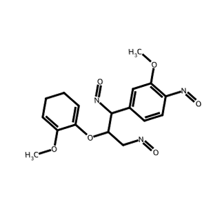 COC1=CCCC=C1OC(CN=O)C(N=O)c1ccc(N=O)c(OC)c1